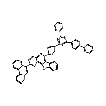 c1ccc(-c2ccc(-c3nc(-c4ccccc4)nc(-c4ccc(-c5nc6ccc(-c7cc8ccccc8c8ccccc78)cc6c6oc7ccccc7c56)cc4)n3)cc2)cc1